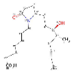 CCC#CC[C@@H](C)[C@H](O)CCC1CCC(=O)N1CCCCCCC(=O)O